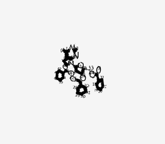 Cc1ncnc2c1ccn2[C@@H]1O[C@H](COC(=O)c2ccccc2)C(OC(=O)c2ccccc2)[C@@H]1OC(=O)c1ccccc1